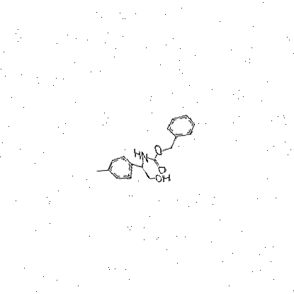 Cc1ccc([C@H](CO)NC(=O)OCc2ccccc2)cc1